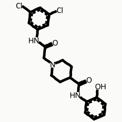 O=C(CN1CCC(C(=O)Nc2ccccc2O)CC1)Nc1cc(Cl)cc(Cl)c1